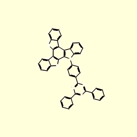 c1ccc(-c2nc(-c3ccccc3)nc(-c3ccc(-n4c5ccccc5c5c6c7ccccc7oc6c6c7ccccc7sc6c54)cc3)n2)cc1